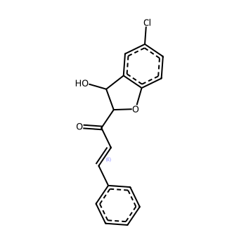 O=C(/C=C/c1ccccc1)C1Oc2ccc(Cl)cc2C1O